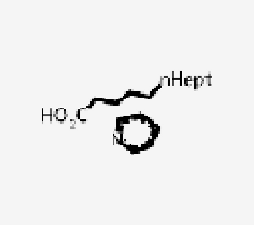 CCCCCCCCCCCC(=O)O.c1ccncc1